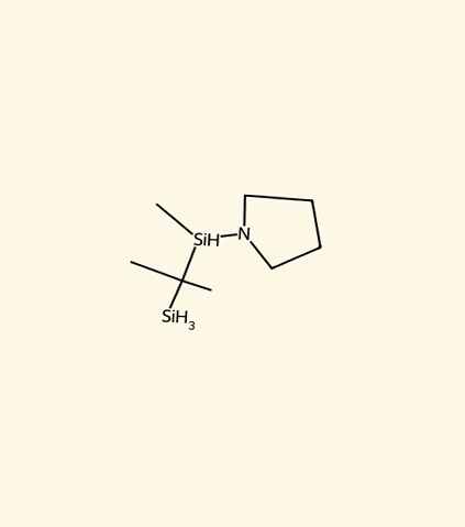 C[SiH](N1CCCC1)C(C)(C)[SiH3]